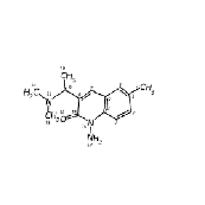 Cc1ccc2c(c1)cc(C(C)N(C)C)c(=O)n2N